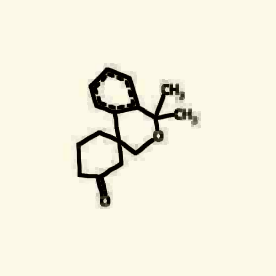 CC1(C)OCC2(CCCC(=O)C2)c2ccccc21